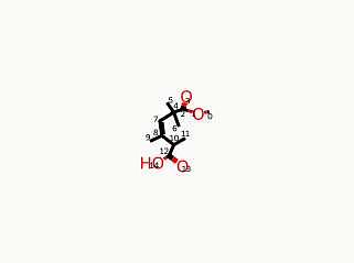 COC(=O)C(C)(C)C=C(C)C(C)C(=O)O